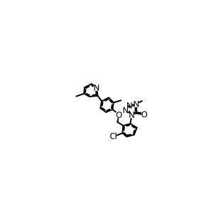 Cc1ccnc(-c2ccc(OCc3c(Cl)cccc3-n3nnn(C)c3=O)c(C)c2)c1